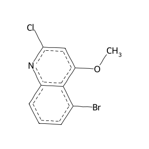 COc1cc(Cl)nc2cccc(Br)c12